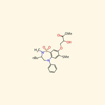 CCCCC1CN(c2ccccc2)c2cc(SC)c(OCC(O)C(=O)OC)cc2S(=O)(=O)N1C